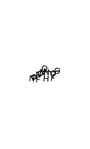 COc1cc(F)cc([C@@H](C)NC(=O)N2CCN(c3ccncc3F)CC2)c1